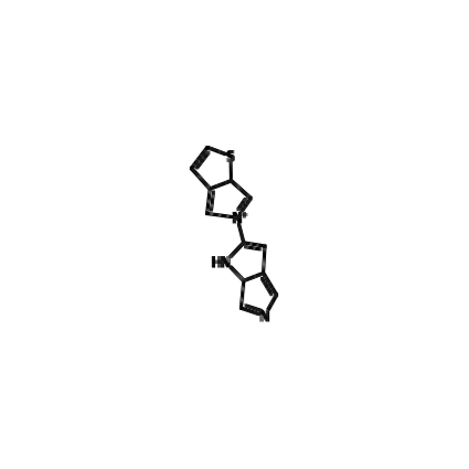 C1=CC2=C[N+](C3=CC4=CN=CC4N3)=CC2S1